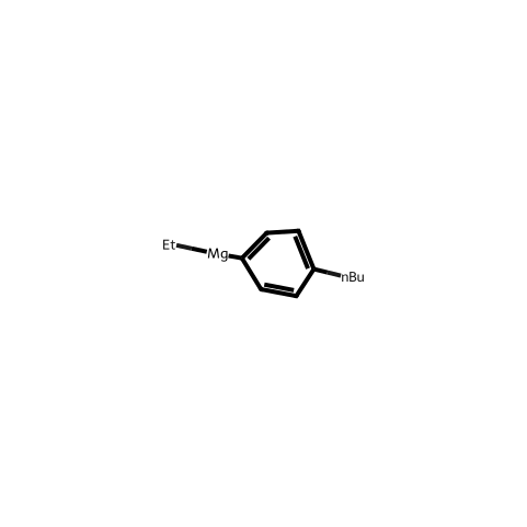 CCCCc1cc[c]([Mg][CH2]C)cc1